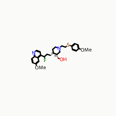 COc1ccc(SCCN2CC[C@@H](CCC(F)c3ccnc4ccc(OC)cc34)[C@@H](CO)C2)cc1